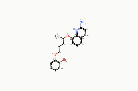 CC(CCCOc1ccccc1Br)Oc1cccc2ccc(N)nc12